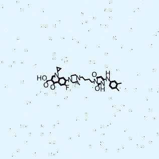 Cc1ccc(Nc2cc(=O)n(CCCCN3CCN(c4cc5c(cc4F)c(=O)c(C(=O)O)cn5C4CC4)C[C@@H]3C)c(=O)[nH]2)cc1C